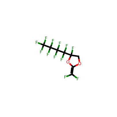 FC(F)=C1OCC(F)(C(F)(F)C(F)(F)C(F)(F)C(F)(F)F)O1